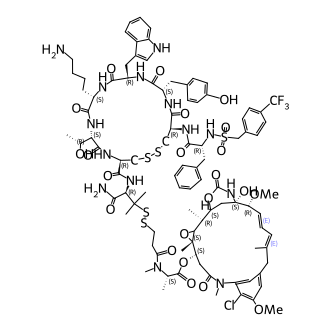 COc1cc2cc(c1Cl)N(C)C(=O)C[C@H](OC(=O)[C@H](C)N(C)C(=O)CCSSC(C)(C)[C@H](NC(=O)[C@@H]1CSSC[C@H](NC(=O)[C@@H](Cc3ccccc3)NS(=O)(=O)Cc3ccc(C(F)(F)F)cc3)C(=O)N[C@@H](Cc3ccc(O)cc3)C(=O)N[C@H](Cc3c[nH]c4ccccc34)C(=O)N[C@@H](CCCCN)C(=O)N[C@@H]([C@@H](C)O)C(=O)N1)C(N)=O)[C@]1(C)OC1[C@H](C)[C@@H]1C[C@@](O)(NC(=O)O1)[C@H](OC)/C=C/C=C(\C)C2